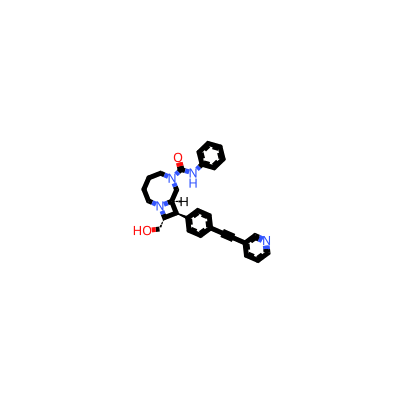 O=C(Nc1ccccc1)N1CCCCN2[C@@H](CO)[C@H](c3ccc(C#Cc4cccnc4)cc3)[C@@H]2C1